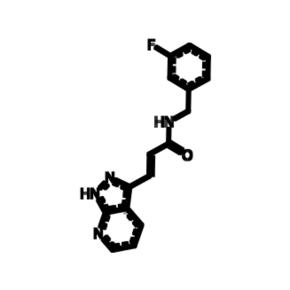 O=C(/C=C/c1n[nH]c2ncccc12)NCc1cccc(F)c1